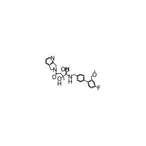 COCc1cc(F)ccc1-c1ccc(CNC(=O)[C@](C)(O)[C@@H](O)C(=O)N2Cc3cccnc3C2)cc1